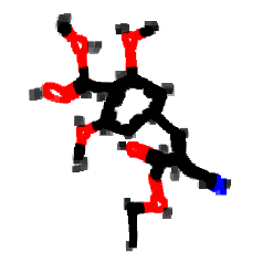 CCOC(=O)C(C#N)=Cc1cc(OC)c(C(=O)OC)c(OC)c1